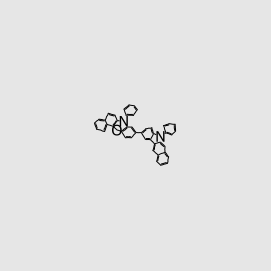 c1ccc(N2c3cc(-c4ccc5c(c4)c4cc6ccccc6cc4n5-c4ccccc4)ccc3Oc3c2ccc2ccccc32)cc1